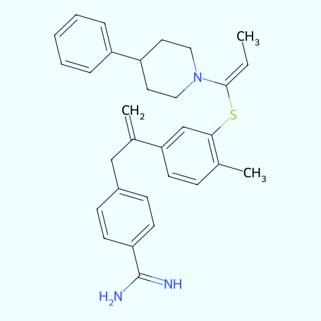 C=C(Cc1ccc(C(=N)N)cc1)c1ccc(C)c(SC(=CC)N2CCC(c3ccccc3)CC2)c1